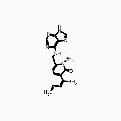 B/C(=C/C=C)c1ccc(CNc2ncnc3[nH]cnc23)n(B)c1=O